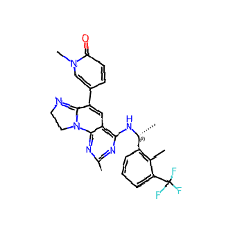 Cc1nc(N[C@H](C)c2cccc(C(F)(F)F)c2C)c2c(n1)N1CCN=C1C(c1ccc(=O)n(C)c1)=C2